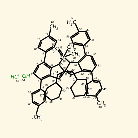 Cc1ccc(-c2ccc(-c3ccc(C)cc3)c3c2C=C(CC2CCCCC2)[CH]3[Zr]([CH3])([CH3])(=[SiH2])[CH]2C(CC3CCCCC3)=Cc3c(-c4ccc(C)cc4)ccc(-c4ccc(C)cc4)c32)cc1.Cl.Cl